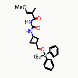 COC=C(C)C(=O)NC(=O)NC1CC(CO[Si](c2ccccc2)(c2ccccc2)C(C)(C)C)C1